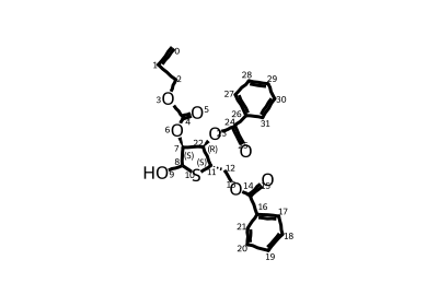 C=CCOC(=O)O[C@@H]1C(O)S[C@@H](COC(=O)c2ccccc2)[C@@H]1OC(=O)c1ccccc1